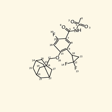 CS(=O)(=O)NC(=O)c1cc(C2CC2(F)F)c(OCC23CC4CC(CC(C4)C2)C3)cc1F